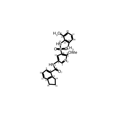 COc1ncc(NC(=O)c2cccc3c2CCC3)cc1S(=O)(=O)Nc1c(C)cccc1C